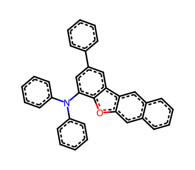 c1ccc(-c2cc(N(c3ccccc3)c3ccccc3)c3oc4cc5ccccc5cc4c3c2)cc1